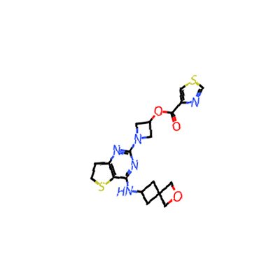 O=C(OC1CN(c2nc3c(c(NC4CC5(COC5)C4)n2)SCC3)C1)c1cscn1